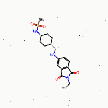 CC(C)CN1C(=O)c2ccc(NC[C@H]3CC[C@H](NS(=O)(=O)C(C)(C)C)CC3)cc2C1=O